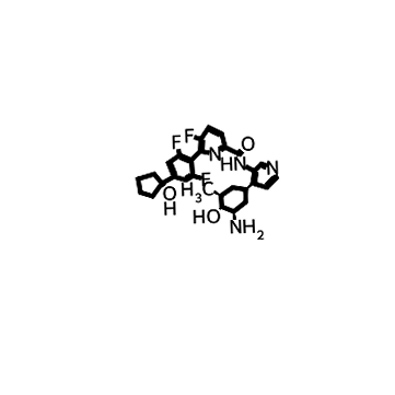 C[C@H]1C[C@@H](c2ccncc2NC(=O)c2ccc(F)c(-c3c(F)cc(C4(O)CCCC4)cc3F)n2)C[C@@H](N)[C@@H]1O